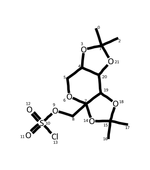 CC1(C)OC2COC3(COS(=O)(=O)Cl)OC(C)(C)OC3C2O1